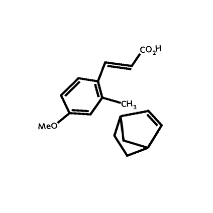 C1=CC2CCC1C2.COc1ccc(C=CC(=O)O)c(C)c1